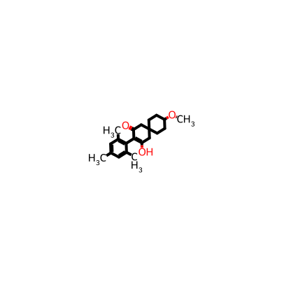 COC1CCC2(CC1)CC(=O)C(c1c(C)cc(C)cc1C)=C(O)C2